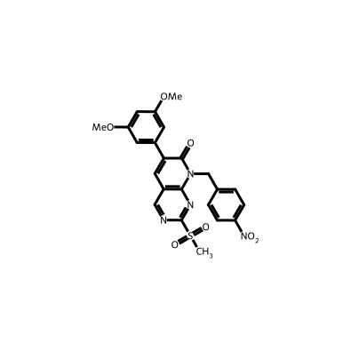 COc1cc(OC)cc(-c2cc3cnc(S(C)(=O)=O)nc3n(Cc3ccc([N+](=O)[O-])cc3)c2=O)c1